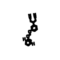 N#CCC(CC#N)c1cccc(OCO[C@H]2C[C@@H]3CC[C@H]2C3)c1